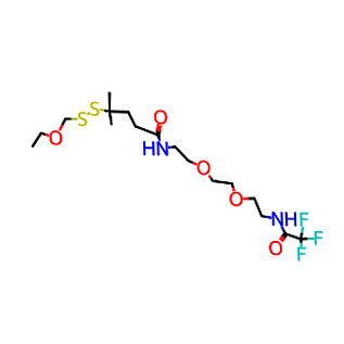 CCOCSSC(C)(C)CCC(=O)NCCOCCOCCNC(=O)C(F)(F)F